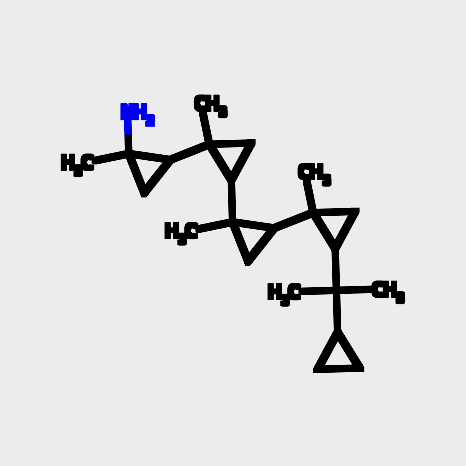 CC1(N)CC1C1(C)CC1C1(C)CC1C1(C)CC1C(C)(C)C1CC1